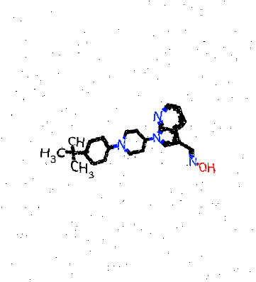 CC(C)(C)C1CCC(N2CCC(n3cc(C=NO)c4cccnc43)CC2)CC1